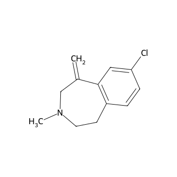 C=C1CN(C)CCc2ccc(Cl)cc21